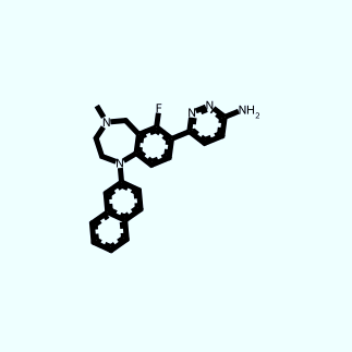 CN1CCN(c2ccc3ccccc3c2)c2ccc(-c3ccc(N)nn3)c(F)c2C1